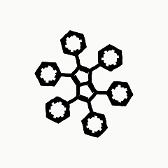 c1ccc(C2=C3C(=C(c4ccccc4)C(c4ccccc4)=C3c3ccccc3)C(c3ccccc3)=C2c2ccccc2)cc1